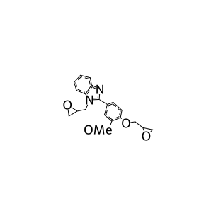 COc1cc(-c2nc3ccccc3n2CC2CO2)ccc1OCC1CO1